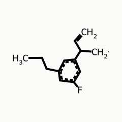 [CH2]C(C=C)c1cc(F)cc(CCC)c1